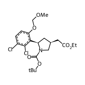 CCOC(=O)C[C@@H]1C[C@H](c2c(OCOC)ccc(Cl)c2Cl)N(C(=O)OC(C)(C)C)C1